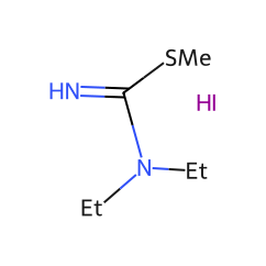 CCN(CC)C(=N)SC.I